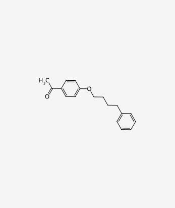 CC(=O)c1ccc(OCCCCc2ccccc2)cc1